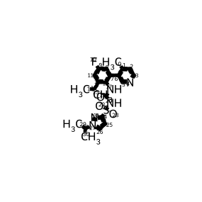 Cc1ccncc1-c1cc(F)cc(C(C)C)c1NC(=O)NS(=O)(=O)c1ccn(C(C)C)n1